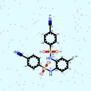 N#Cc1ccc(S(=O)(=O)Nc2ccc(F)cc2NS(=O)(=O)c2ccc(C#N)cc2)cc1